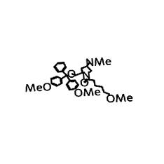 CNC1CC(COC(c2ccccc2)(c2ccc(OC)cc2)c2ccc(OC)cc2)N(C(=O)CCCCCOC)C1